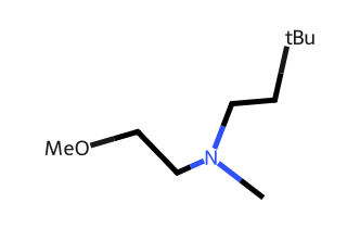 COCCN(C)CCC(C)(C)C